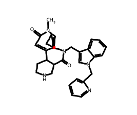 Cn1ccc(C2CCNCC2C(=O)N(Cc2cn(Cc3ccccn3)c3ccccc23)C2CC2)cc1=O